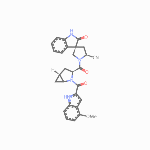 COc1cccc2[nH]c(C(=O)N3C4C[C@@H]4C[C@H]3C(=O)N3C[C@]4(C[C@H]3C#N)C(=O)Nc3ccccc34)cc12